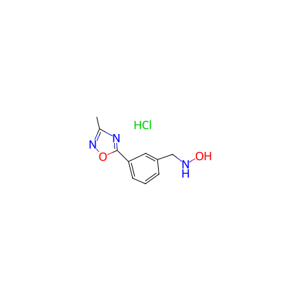 Cc1noc(-c2cccc(CNO)c2)n1.Cl